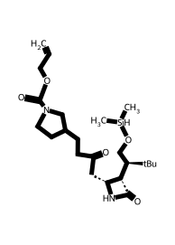 C=CCOC(=O)N1CCC(CCC(=O)C[C@H]2NC(=O)[C@H]2[C@@H](CO[SiH](C)C)C(C)(C)C)C1